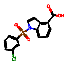 O=C(O)c1cccc2c1ccn2S(=O)(=O)c1cccc(Cl)c1